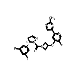 Cc1ncc(-c2cc(OC3CN(C(=O)N4N=CC[C@H]4c4cc(F)cc(F)c4)C3)c(F)cn2)s1